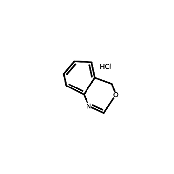 C1=Nc2ccccc2CO1.Cl